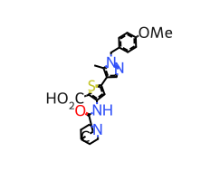 COc1ccc(Cn2ncc(-c3cc(NC(=O)C4CC5CCN4CC5)c(C(=O)O)s3)c2C)cc1